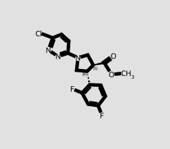 COC(=O)[C@@H]1CN(c2ccc(Cl)nn2)C[C@H]1c1ccc(F)cc1F